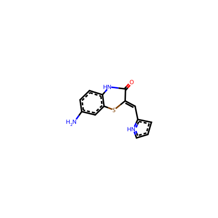 Nc1ccc2c(c1)S/C(=C\c1ccc[nH]1)C(=O)N2